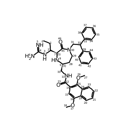 CCC(NC(=N)N)[C@@H]1N[C@H](CNC(=O)c2cc(OC)c3ccccc3c2OC)CCN(CC(c2ccccc2)c2ccccc2)C1=O